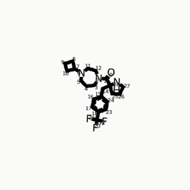 O=C(N1CCCN(C2CCC2)CC1)C1(Cc2ccc(C(F)(F)F)cc2)CCCN1